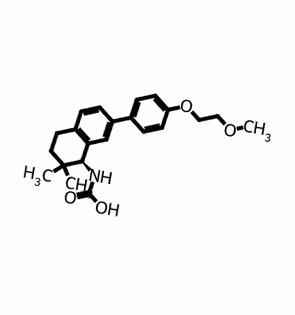 COCCOc1ccc(-c2ccc3c(c2)[C@@H](NC(=O)O)C(C)(C)CC3)cc1